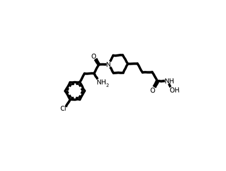 NC(Cc1ccc(Cl)cc1)C(=O)N1CCC(CCCC(=O)NO)CC1